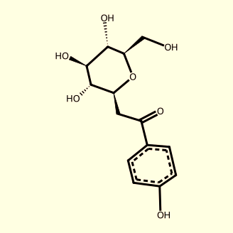 O=C(C[C@@H]1O[C@H](CO)[C@@H](O)[C@H](O)[C@H]1O)c1ccc(O)cc1